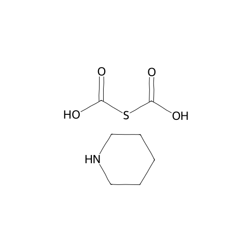 C1CCNCC1.O=C(O)SC(=O)O